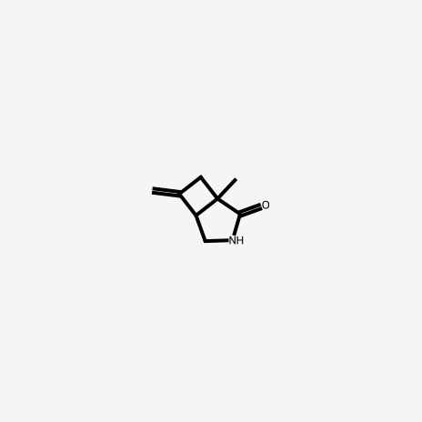 C=C1CC2(C)C(=O)NCC12